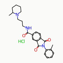 Cc1ccccc1N1C(=O)c2ccc(C(=O)NCCCN3CCCCC3C)cc2C1=O.Cl